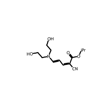 CC(C)OC(=O)/C(C#N)=C\C=C\N(CCO)CCO